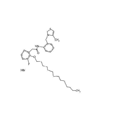 Br.CCCCCCCCCCCCCCOc1c(F)cccc1CC(=O)Nc1ccccc1CN1CSC=C1C